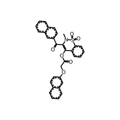 CN1C(C(=O)c2ccc3ccccc3c2)=C(OC(=O)COc2ccc3ccccc3c2)c2ccccc2S1(=O)=O